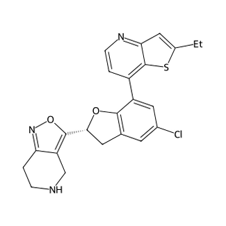 CCc1cc2nccc(-c3cc(Cl)cc4c3O[C@@H](c3onc5c3CNCC5)C4)c2s1